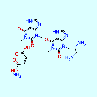 Cn1c(=O)c2[nH]cnc2n(C)c1=O.Cn1c(=O)c2[nH]cnc2n(C)c1=O.N.NCCN.O=C(O)/C=C\C(=O)O